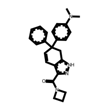 CN(C)c1ccc(C2(c3ccccc3)C=Cc3c(C(=O)N4CCC4)n[nH]c3C2)cc1